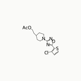 CC(=O)OCCC1CCN(c2noc(-c3sccc3Cl)n2)CC1